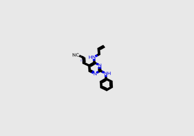 C=CCNc1nc(Nc2ccccc2)ncc1/C=C/C#N